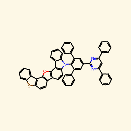 c1ccc(-c2cc(-c3ccccc3)nc(-c3cc(-c4ccccc4)c(-n4c5ccccc5c5c6oc7c(ccc8sc9ccccc9c87)c6ccc54)c(-c4ccccc4)c3)n2)cc1